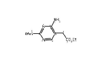 CCOC(=O)Cc1cnc(SC)nc1N